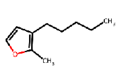 CCCCCc1ccoc1C